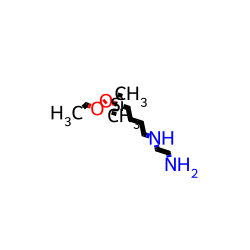 CCOO[Si](C)(C)CCCCNCCN